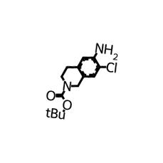 CC(C)(C)OC(=O)N1CCc2cc(N)c(Cl)cc2C1